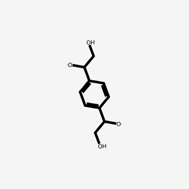 [O]C(CO)c1ccc(C([O])CO)cc1